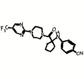 N#Cc1ccc(NC2(C(=O)N3CCN(c4ncc(C(F)(F)F)cn4)CC3)CCCC2)cc1